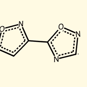 [c]1noc(-c2ccon2)n1